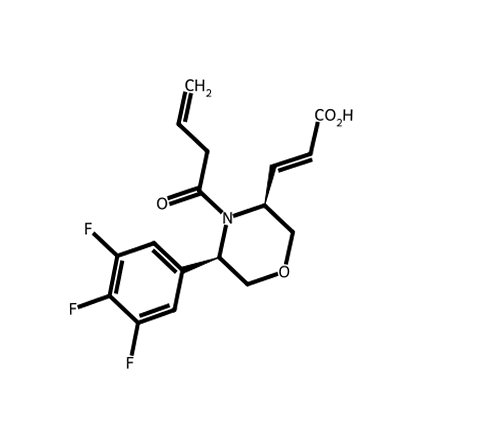 C=CCC(=O)N1[C@@H](C=CC(=O)O)COC[C@H]1c1cc(F)c(F)c(F)c1